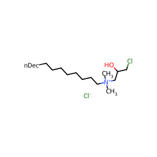 CCCCCCCCCCCCCCCCCC[N+](C)(C)CC(O)CCl.[Cl-]